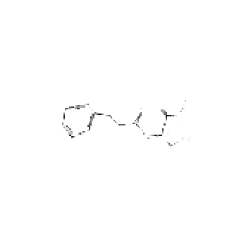 COC(=O)[C@@H](CO)NC(=O)CCc1ccccc1